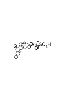 C[C@H](CCC(=O)OCOC(=O)C(F)(F)S(=O)(=O)O)[C@H]1CCC2C3C(=O)CC4CC(=O)CC[C@]4(C)C3CC(=O)[C@@]21C